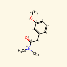 COc1cccc(CC(=O)N(C)C)c1